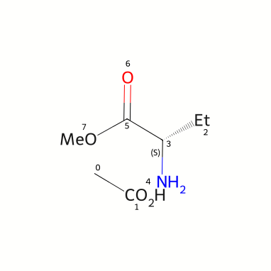 CC(=O)O.CC[C@H](N)C(=O)OC